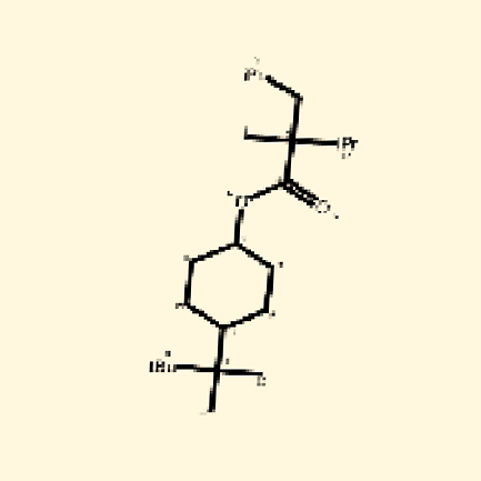 CC(C)CC(C)(C(=O)OC1CCC(C(C)(C)C(C)(C)C)CC1)C(C)C